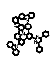 c1ccc(-c2cc(-c3ccccc3)nc(-c3cc(-c4ccc(-n5c6ccccc6c6ccccc65)cc4)c(-n4c5ccccc5c5c6sc7ccccc7c6ccc54)c(-c4ccc(-n5c6ccccc6c6ccccc65)cc4)c3)n2)cc1